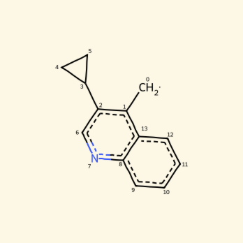 [CH2]c1c(C2CC2)cnc2ccccc12